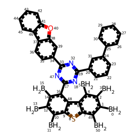 Bc1c(B)c(B)c2c(sc3c(B)c(B)c(B)c(-c4nc(-c5cccc(-c6ccccc6)c5)nc(-c5ccc6c(c5)oc5ccccc56)n4)c32)c1B